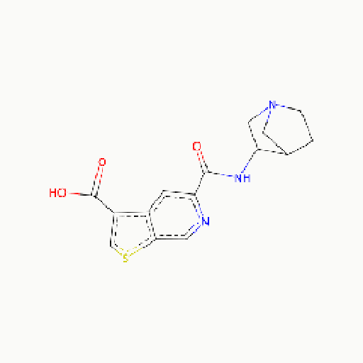 O=C(NC1CN2CCC1C2)c1cc2c(C(=O)O)csc2cn1